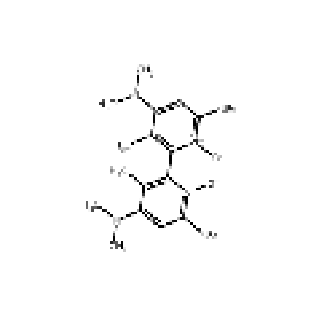 Cc1c(N(C)C)cc(C(C)(C)C)[n+]([O-])c1-c1c(C)c(N(C)C)cc(C(C)(C)C)[n+]1[O-]